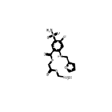 CCOC(=O)COC(=O)COC(=O)c1cc(S(N)(=O)=O)c(Cl)cc1NCc1ccco1